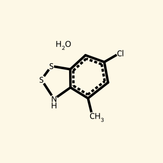 Cc1cc(Cl)cc2c1NSS2.O